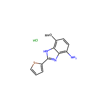 COc1ccc(N)c2nc(-c3cccs3)[nH]c12.Cl